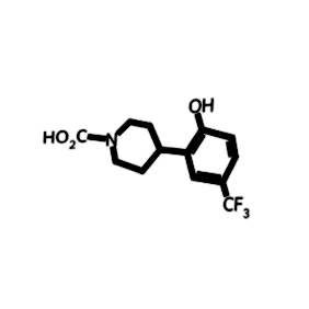 O=C(O)N1CCC(c2cc(C(F)(F)F)ccc2O)CC1